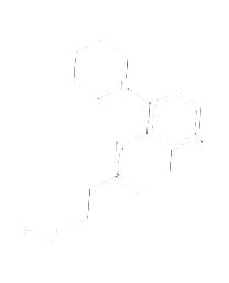 O=C(O)CCC(=O)Nc1c(N2CCCCC2)ccnc1S